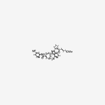 COC/C=C/C(=O)N1CCC[C@H]1c1nc(C2=CCC=C(C(=O)Nc3cc(C#N)ccn3)C=C2)c2c(N)nccn12